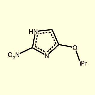 CC(C)Oc1c[nH]c([N+](=O)[O-])n1